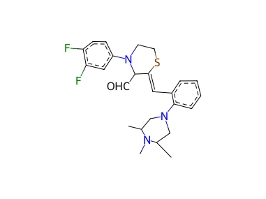 CC1CN(c2ccccc2C=C2SCCN(c3ccc(F)c(F)c3)C2C=O)CC(C)N1C